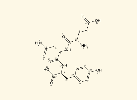 NC(=O)C[C@H](NC(=O)[C@@H](N)CCC(=O)O)C(=O)N[C@@H](Cc1ccc(O)cc1)C(=O)O